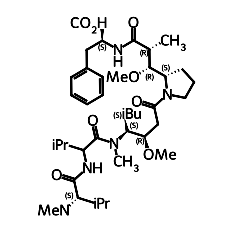 CC[C@H](C)[C@@H]([C@@H](CC(=O)N1CCC[C@H]1[C@H](OC)[C@@H](C)C(=O)N[C@@H](Cc1ccccc1)C(=O)O)OC)N(C)C(=O)C(NC(=O)[C@@H](NC)C(C)C)C(C)C